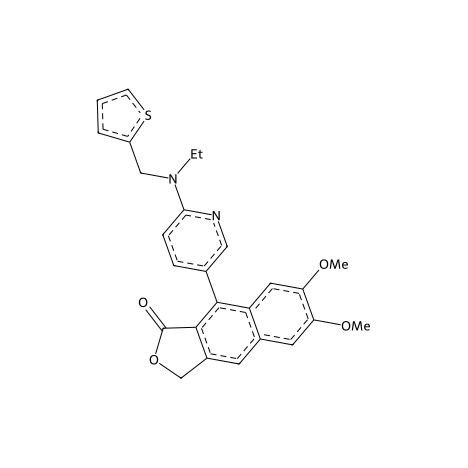 CCN(Cc1cccs1)c1ccc(-c2c3c(cc4cc(OC)c(OC)cc24)COC3=O)cn1